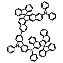 c1ccc(N(c2ccccc2)c2ccc3cc4c(cc3c2)C2(c3ccccc3-c3ccccc32)c2ccc3cc(-c5ccc6c(c5)c5cc(N(c7ccccc7)c7cc8c(c9ccccc79)-c7c(ccc9ccccc79)C87c8ccccc8-c8ccccc87)ccc5n6-c5ccccc5)ccc3c2-4)cc1